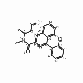 CC(CC=O)N(C)C(=O)c1nc(-c2ccccc2Cl)c2ccccc2n1